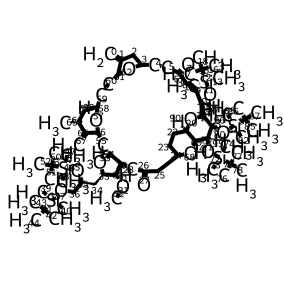 C=C1CC2CCC(=O)/C=C/[C@H](O[Si](C)(C)C(C)(C)C)[C@@H]3O[C@H]4CCC(CC(=O)C[C@@H]5[C@@H](OC)[C@@H](C[C@@H](CO[Si](C)(C)C(C)(C)C)O[Si](C)(C)C(C)(C)C)O[C@H]5CC5O[C@@H](CCC1O2)C[C@@H](C)C5=C)O[C@@H]4[C@H](O[Si](C)(C)C(C)(C)C)[C@@H]3O[Si](C)(C)C(C)(C)C